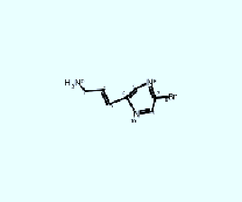 NCC=Cc1cnc(Br)cn1